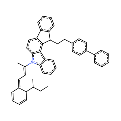 CCC(C)C1C=CC=C/C1=C/C=C(\C)n1c2ccccc2c2c3c(ccc21)-c1ccccc1C3CCc1ccc(-c2ccccc2)cc1